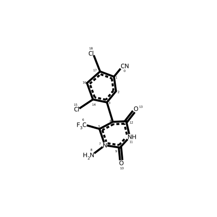 N#Cc1cc(-c2c(C(F)(F)F)n(N)c(=O)[nH]c2=O)c(Cl)cc1Cl